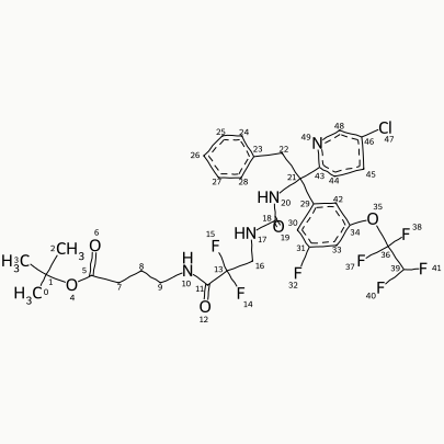 CC(C)(C)OC(=O)CCCNC(=O)C(F)(F)CNC(=O)NC(Cc1ccccc1)(c1cc(F)cc(OC(F)(F)C(F)F)c1)c1ccc(Cl)cn1